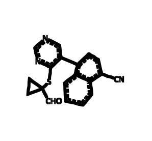 N#Cc1ccc(-c2cncnc2SC2(C=O)CC2)c2ccccc12